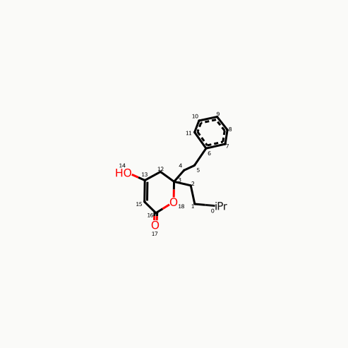 CC(C)CCC1(CCc2ccccc2)CC(O)=CC(=O)O1